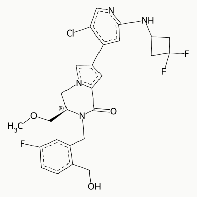 COC[C@H]1Cn2cc(-c3cc(NC4CC(F)(F)C4)ncc3Cl)cc2C(=O)N1Cc1cc(F)ccc1CO